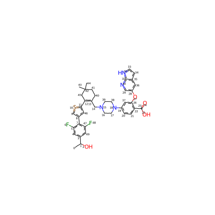 CC(O)c1cc(F)c(-c2csc(C3=C(CN4CCN(c5ccc(C(=O)O)c(Oc6cnc7[nH]ccc7c6)c5)CC4)CCC(C)(C)C3)c2)c(F)c1